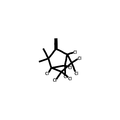 C=C1C(C)(C)C2(Cl)C(Cl)(Cl)C(Cl)(Cl)C1(Cl)C2(Cl)Cl